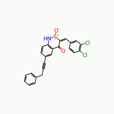 O=C1/C(=C\c2ccc(Cl)c(Cl)c2)[S+]([O-])Nc2ccc(C#CCc3ccccc3)cc21